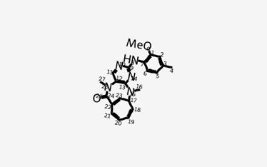 COc1cc(C)ccc1Nc1ncc2c(n1)N(C)C1C=CC=CC(=C1)C(=O)N2C